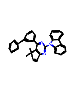 CC1(C)C=Cc2nc(-n3c4ccccc4c4ccccc43)nc(-c3cccc(-c4ccccc4)c3)c21